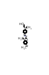 COc1ccc2c(c1)sc(/N=N/c1ccc(N(C)CCO)cc1)[n+]2C